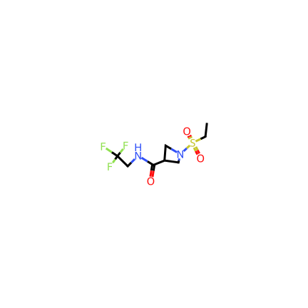 CCS(=O)(=O)N1CC(C(=O)NCC(F)(F)F)C1